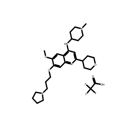 COc1cc2c(NC3CCN(C)CC3)cc(C3CCOCC3)nc2cc1OCCCN1CCCC1.O=C(O)C(F)(F)F